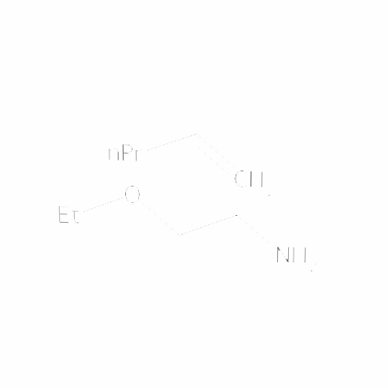 C=CCCC.CCOCCN